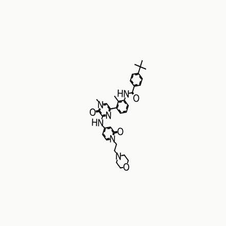 Cc1c(NC(=O)c2ccc(C(C)(C)C)cc2)cccc1-c1cn(C)c(=O)c(Nc2ccn(CCN3CCOCC3)c(=O)c2)n1